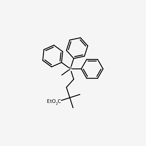 CCOC(=O)C(C)(C)CCP(C)(c1ccccc1)(c1ccccc1)c1ccccc1